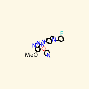 COc1cc(OC2CCN(C)CC2)c2c(N=Nc3ccc4c(ccn4Cc4cccc(F)c4)c3)ncnc2c1